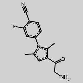 Cc1cc(C(=O)CN)c(C)n1-c1ccc(C#N)c(F)c1